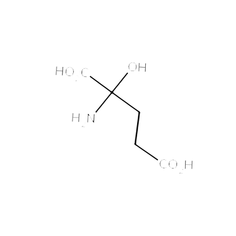 NC(O)(CCC(=O)O)C(=O)O